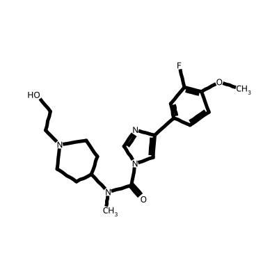 COc1ccc(-c2cn(C(=O)N(C)C3CCN(CCO)CC3)cn2)cc1F